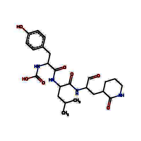 CC(C)CC(NC(=O)C(Cc1ccc(O)cc1)NC(=O)O)C(=O)NC(C=O)CC1CCCNC1=O